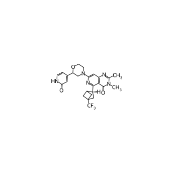 Cc1nc2cc(N3CCOC(c4cc[nH]c(=O)c4)C3)nc([C@@H]3CC4(C(F)(F)F)CC3C4)c2c(=O)n1C